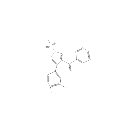 COc1ccc(-c2nn(S(C)(=O)=O)cc2C(=O)c2ccccc2)cc1Cl